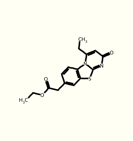 CCOC(=O)Cc1ccc2c(c1)sc1nc(=O)cc(CC)n12